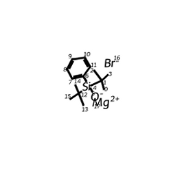 CC(C)(C)[Si]([O-])(c1ccccc1)C(C)(C)C.[Br-].[Mg+2]